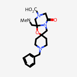 CNCC12CN(C(=O)O)CC(=O)N1CC1(CCN(Cc3ccccc3)CC1)O2